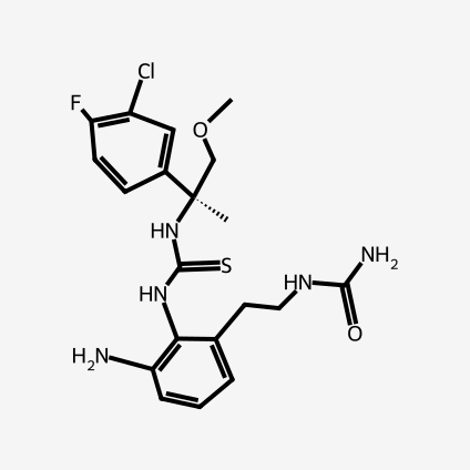 COC[C@@](C)(NC(=S)Nc1c(N)cccc1CCNC(N)=O)c1ccc(F)c(Cl)c1